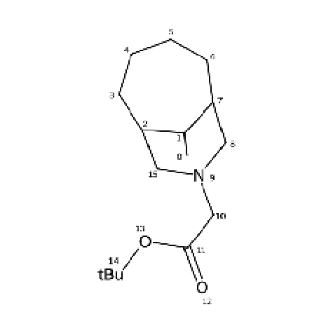 CC1C2CCCCC1CN(CC(=O)OC(C)(C)C)C2